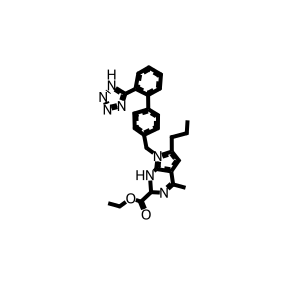 CCCc1cc2c(n1Cc1ccc(-c3ccccc3-c3nnn[nH]3)cc1)NC(C(=O)OCC)N=C2C